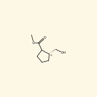 COC(=O)C1CCC[C@H]1CO